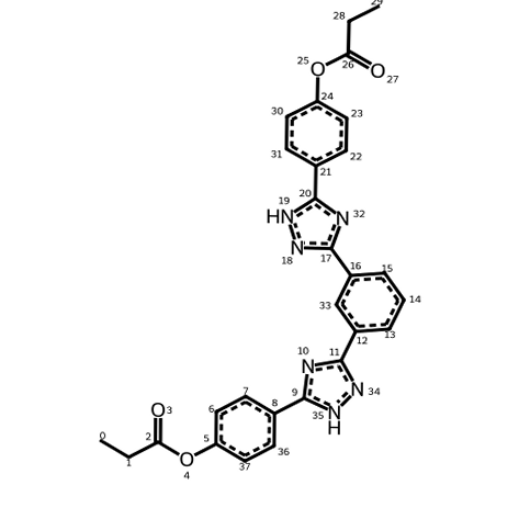 CCC(=O)Oc1ccc(-c2nc(-c3cccc(-c4n[nH]c(-c5ccc(OC(=O)CC)cc5)n4)c3)n[nH]2)cc1